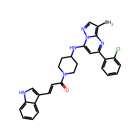 Bc1cnn2c(NC3CCN(C(=O)/C=C/c4c[nH]c5ccccc45)CC3)cc(-c3ccccc3Cl)nc12